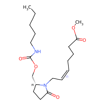 CCCCCNC(=O)OC[C@H]1CCC(=O)N1C/C=C\CCCC(=O)OC